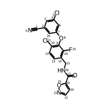 N#Cc1cc(Cl)cc(Oc2c(Cl)ccc(CNC(=O)c3ccno3)c2F)c1